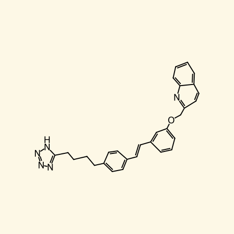 C(=C\c1cccc(OCc2ccc3ccccc3n2)c1)/c1ccc(CCCCc2nnn[nH]2)cc1